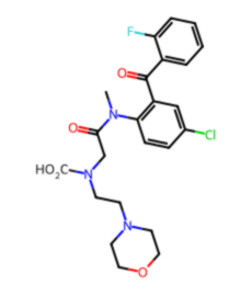 CN(C(=O)CN(CCN1CCOCC1)C(=O)O)c1ccc(Cl)cc1C(=O)c1ccccc1F